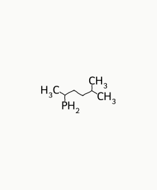 CC(C)CCC(C)P